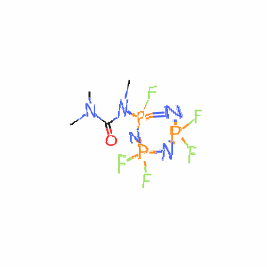 CN(C)C(=O)N(C)P1(F)=NP(F)(F)=NP(F)(F)=N1